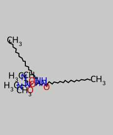 CCCCCCCCCCCCCCCCCC(=O)NCC(COC(=O)N(CCN(C)C)CCN(C)C)NC(=O)CCCCCCCCCCCCCCCCC